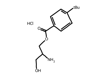 CC(C)(C)c1ccc(C(=O)OCC(N)CO)cc1.Cl